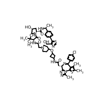 Cc1sc2c(c1C)C(c1ccc(Cl)cc1)=N[C@@H](CC(=O)NC1CC(OC3CCN(CC(=O)N[C@H](C(=O)N4C[C@H](O)C[C@H]4C(=O)N[C@@H](C)c4ccc(-c5scnc5CO)cc4)C(C)(C)C)CC3)C1)c1nnc(C)n1-2